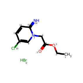 Br.CCOC(=O)Cn1cc(Cl)ccc1=N